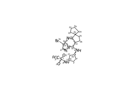 CS(=O)(=O)N[C@H]1CC[C@H](Nc2c3c(nc4c(Br)cnn24)C2(CCCC2)CC3)C1